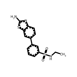 CCNS(=O)(=O)c1cccc(-c2ccc3nc(N)sc3c2)c1